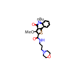 CCCCn1c(=O)c2c(OC)c(C(=O)NCCCN3CCOCC3)sc2c2ccccc21